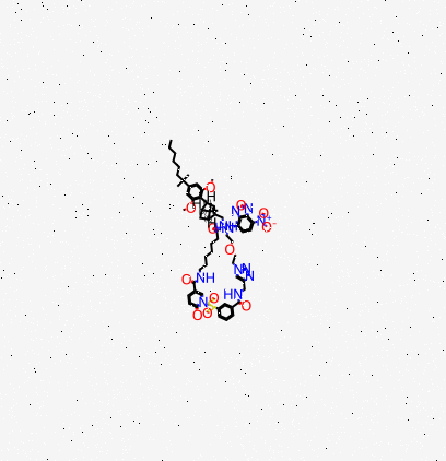 CCCCCCC(C)(C)c1cc(OC)c([C@H]2C=C(CNC(=O)CCCCCCNC(=O)c3ccc(=O)n(S(=O)(=O)c4cccc(C(=O)NCc5cn(CCOCCNc6ccc([N+](=O)[O-])c7nonc67)nn5)c4)c3)[C@H]3C[C@@H]2C3(C)C)c(OC)c1